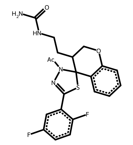 CC(=O)N1N=C(c2cc(F)ccc2F)SC12c1ccccc1OCC2CCNC(N)=O